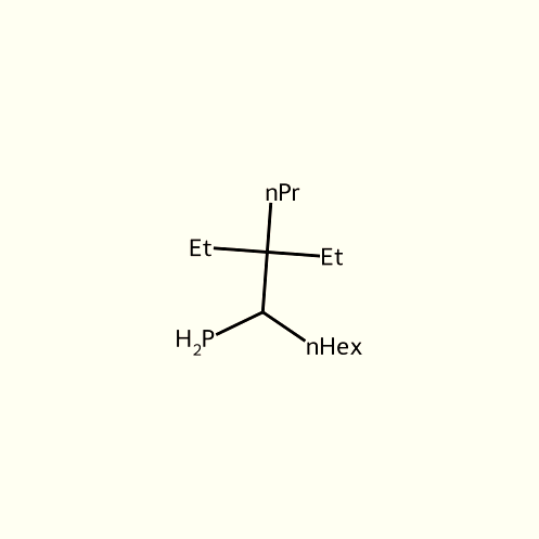 CCCCCCC(P)C(CC)(CC)CCC